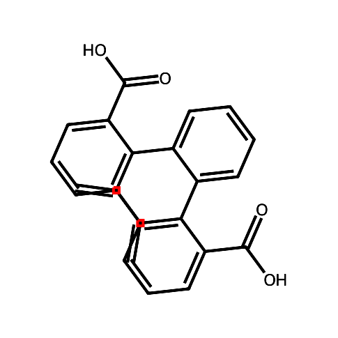 C=Cc1cccc(C(=O)O)c1-c1ccccc1-c1c(C=C)cccc1C(=O)O